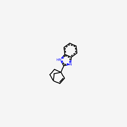 C1=CC2(c3nc4ccccc4[nH]3)CCC1C2